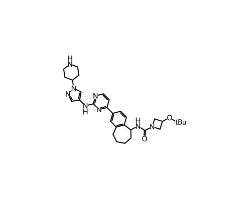 CC(C)(C)OC1CN(C(=O)NC2CCCCc3cc(-c4ccnc(Nc5cnn(C6CCNCC6)c5)n4)ccc32)C1